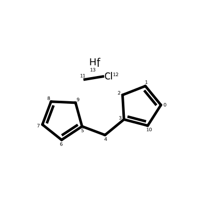 C1=CCC(CC2=CC=CC2)=C1.CCl.[Hf]